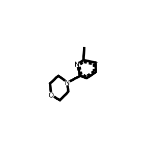 Cc1[c]ccc(N2CCOCC2)n1